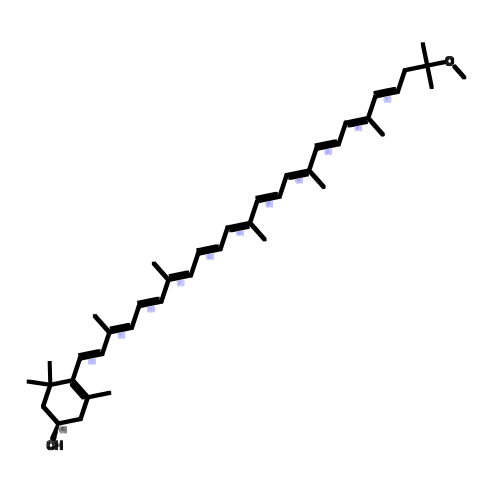 COC(C)(C)C/C=C/C(C)=C/C=C/C(C)=C/C=C/C(C)=C/C=C/C=C(C)/C=C/C=C(C)/C=C/C1=C(C)C[C@@H](O)CC1(C)C